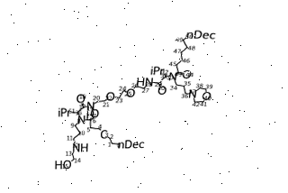 CCCCCCCCCCCCCCCC(=O)N(CCCNCCO)C(C(=O)NCCOCCOCCNC(=O)C(C(C)C)N(CCCN1CCOCC1)C(=O)CCCCCCCCCCCCCCC)C(C)C